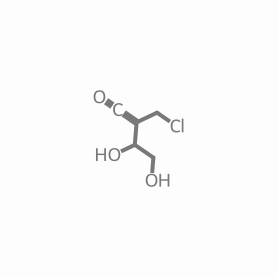 O=C=C(CCl)C(O)CO